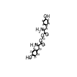 NC(Cc1ccc(O)cc1)C(=O)OCOC(=O)C(N)Cc1ccc(O)cc1